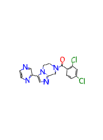 O=C(c1ccc(Cl)cc1Cl)N1CCn2c(-c3cnccn3)cnc2C1